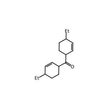 CCC1C=CC(C(=O)C2C=CC(CC)CC2)CC1